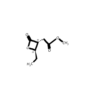 CC[C@H]1OC(=O)[C@@H]1CC(=O)OC